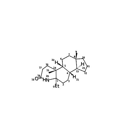 CCC12CC[C@@H]3[C@@H](CC[C@]4(C)CCC[C@@H]34)[C@@]1(C)CCC(=O)N2